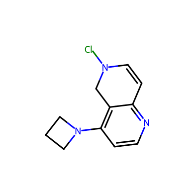 ClN1C=Cc2nccc(N3CCC3)c2C1